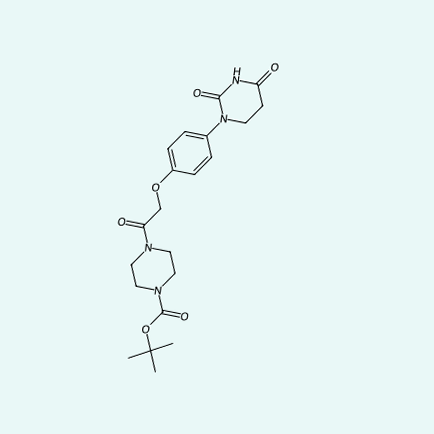 CC(C)(C)OC(=O)N1CCN(C(=O)COc2ccc(N3CCC(=O)NC3=O)cc2)CC1